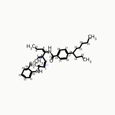 C=C(/C=C\C(=C/C)C(=CCC)NC(=O)c1ccc(C(CCC)CCCCC)cc1)Nc1ccccc1F